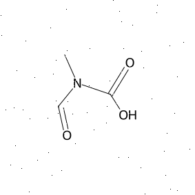 CN(C=O)C(=O)O